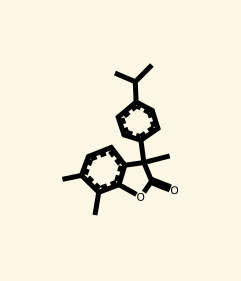 Cc1ccc2c(c1C)OC(=O)C2(C)c1ccc(C(C)C)cc1